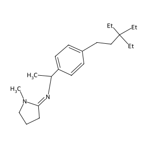 CCC(CC)(CC)CCc1ccc(C(C)N=C2CCCN2C)cc1